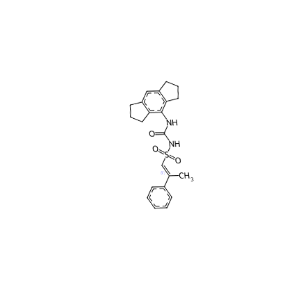 C/C(=C\S(=O)(=O)NC(=O)Nc1c2c(cc3c1CCC3)CCC2)c1ccccc1